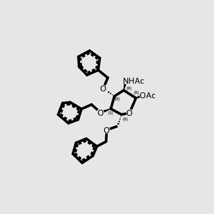 CC(=O)N[C@H]1[C@@H](OC(C)=O)O[C@H](COCc2ccccc2)[C@@H](OCc2ccccc2)[C@@H]1OCc1ccccc1